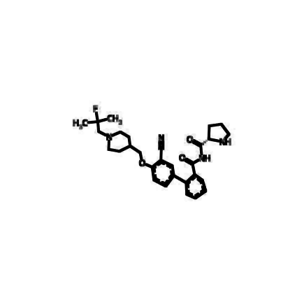 CC(C)(F)CN1CCC(COc2ccc(-c3ccccc3C(=O)NC(=O)[C@@H]3CCCN3)cc2C#N)CC1